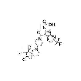 CC(C)N1C(=O)OC2(CCCN(C3CCN(C(=O)c4c(N(C(=O)O)C(C)(C)C)sc5nc(C(F)(F)F)ccc45)CC3)C2)C1=O